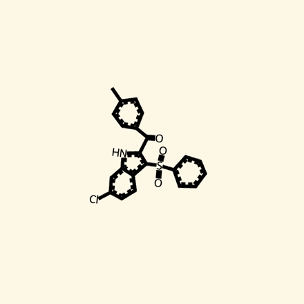 Cc1ccc(C(=O)c2[nH]c3cc(Cl)ccc3c2S(=O)(=O)c2ccccc2)cc1